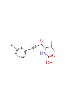 CC(C)C(NC(=O)O)C(=O)C#Cc1cccc(F)c1